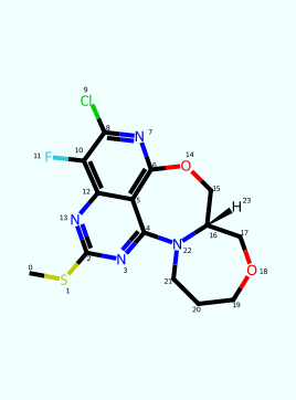 CSc1nc2c3c(nc(Cl)c(F)c3n1)OC[C@@H]1COCCCN21